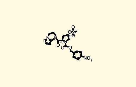 CS(=O)(=O)O[C@@H]1C[C@@H](C(=O)N2CCCn3nccc32)N(C(=O)OCc2ccc([N+](=O)[O-])cc2)C1